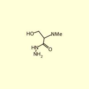 CNC(CO)C(=O)NN